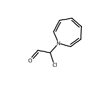 O=CC(Cl)N1C=CC=CC=C1